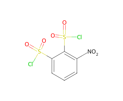 O=[N+]([O-])c1cccc(S(=O)(=O)Cl)c1S(=O)(=O)Cl